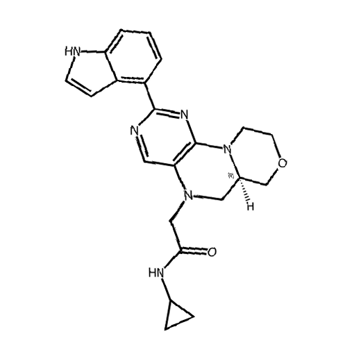 O=C(CN1C[C@@H]2COCCN2c2nc(-c3cccc4[nH]ccc34)ncc21)NC1CC1